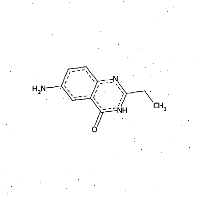 CCc1nc2ccc(N)cc2c(=O)[nH]1